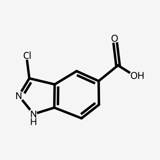 O=C(O)c1ccc2[nH]nc(Cl)c2c1